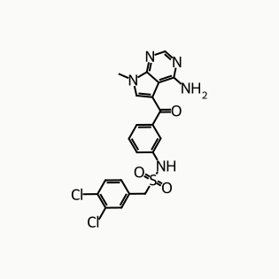 Cn1cc(C(=O)c2cccc(NS(=O)(=O)Cc3ccc(Cl)c(Cl)c3)c2)c2c(N)ncnc21